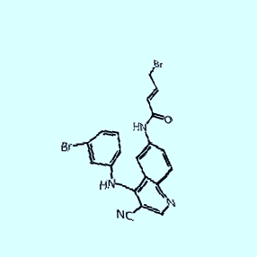 N#Cc1cnc2ccc(NC(=O)C=CCBr)cc2c1Nc1cccc(Br)c1